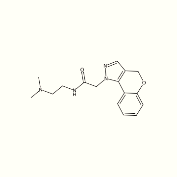 CN(C)CCNC(=O)Cn1ncc2c1-c1ccccc1OC2